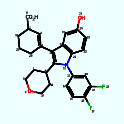 O=C(O)C1C=C(c2c(C3CCOCC3)n(-c3ccc(F)c(F)c3)c3ccc(O)cc23)CCC1